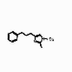 CCCCn1cc(CCCc2ccccc2)nc1C